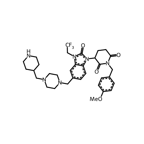 COc1ccc(CN2C(=O)CCC(n3c(=O)n(CC(F)(F)F)c4cc(CN5CCN(CC6CCNCC6)CC5)ccc43)C2=O)cc1